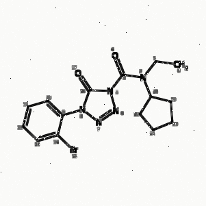 CCN(C(=O)n1nnn(-c2ccccc2Br)c1=O)C1CCCC1